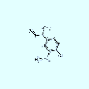 [CH2]C(C=C)c1ccc(Cl)c(OC)c1